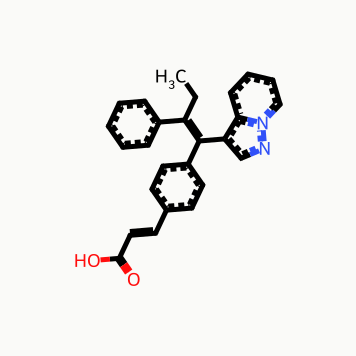 CCC(=C(c1ccc(C=CC(=O)O)cc1)c1cnn2ccccc12)c1ccccc1